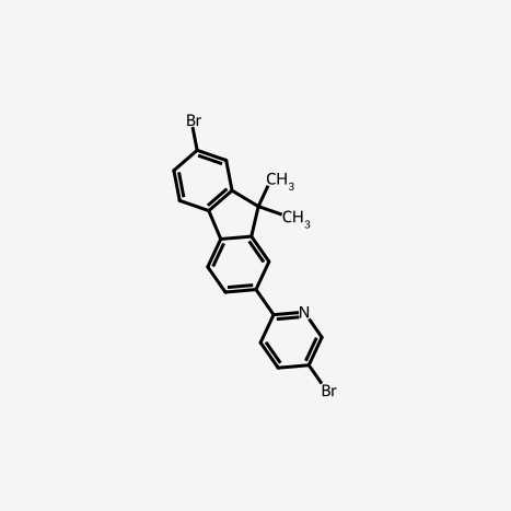 CC1(C)c2cc(Br)ccc2-c2ccc(-c3ccc(Br)cn3)cc21